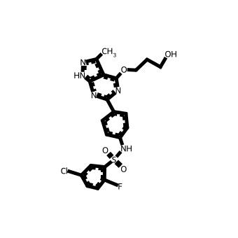 Cc1n[nH]c2nc(-c3ccc(NS(=O)(=O)c4cc(Cl)ccc4F)cc3)nc(OCCCO)c12